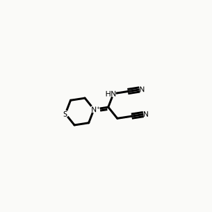 N#CCC(NC#N)=[N+]1CCSCC1